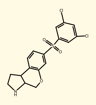 O=S(=O)(c1cc(Cl)cc(Cl)c1)c1ccc2c(c1)OCC1NCCC21